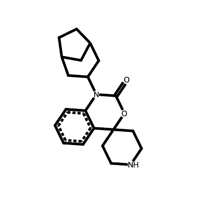 O=C1OC2(CCNCC2)c2ccccc2N1C1CC2CCC(C2)C1